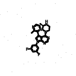 Cc1nccnc1-c1cn(-c2cc(F)cc(F)c2)c2ncnc(N3CCN[C@H](C)C3)c12